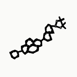 CC1(C)OB(c2ccc3cc(-c4cc5ccc6cc(-c7ccccc7)cc7ccc(c4)c5c67)ccc3c2)OC1(C)C